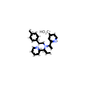 C=C(c1cc(C(=O)O)ccn1)N(CCc1ccc(C)cc1)/C(=C\C)c1ccccn1